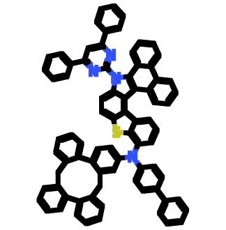 c1ccc(-c2ccc(N(c3ccc4c(c3)Cc3ccccc3-c3ccccc3Cc3ccccc3-4)c3cccc4c3sc3ccc5c(c34)c3c4ccccc4c4ccccc4c3n5-c3nc(-c4ccccc4)cc(-c4ccccc4)n3)cc2)cc1